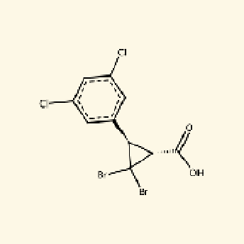 O=C(O)[C@H]1[C@H](c2cc(Cl)cc(Cl)c2)C1(Br)Br